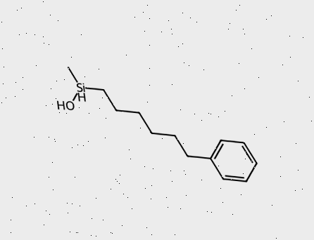 C[SiH](O)CCCCCCc1ccccc1